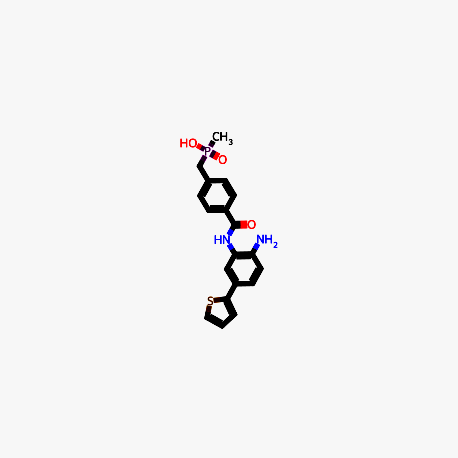 CP(=O)(O)Cc1ccc(C(=O)Nc2cc(-c3cccs3)ccc2N)cc1